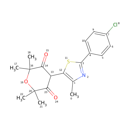 Cc1nc(-c2ccc(Cl)cc2)sc1C1C(=O)C(C)(C)OC(C)(C)C1=O